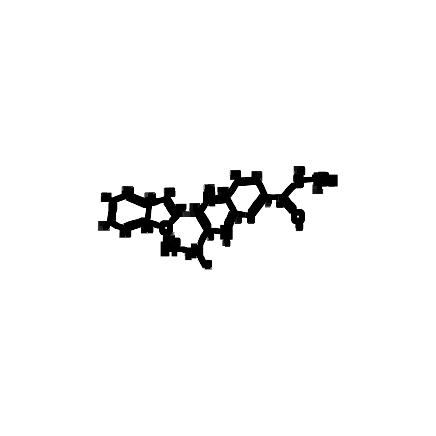 CC(C)N(C)c1nc2cc(C(=O)SC(C)(C)C)ccc2nc1-c1cc2ccccc2o1